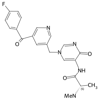 CN[C@@H](C)C(=O)Nc1cn(Cc2cncc(C(=O)c3ccc(F)cc3)c2)cnc1=O